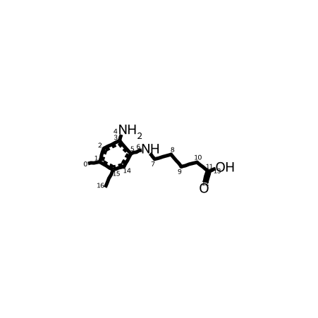 Cc1cc(N)c(NCCCCC(=O)O)cc1C